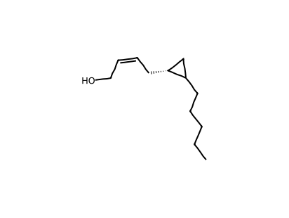 CCCCCC1C[C@H]1C/C=C\CO